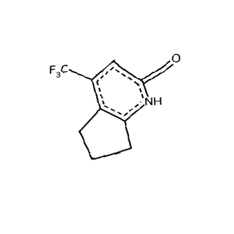 O=c1cc(C(F)(F)F)c2c([nH]1)CCC2